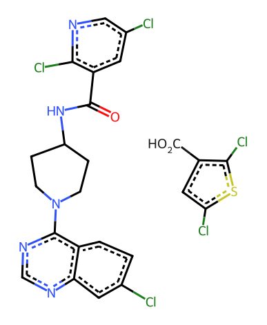 O=C(NC1CCN(c2ncnc3cc(Cl)ccc23)CC1)c1cc(Cl)cnc1Cl.O=C(O)c1cc(Cl)sc1Cl